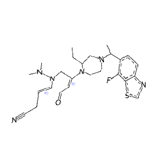 CCC1CN(C(C)c2ccc3ncsc3c2F)CCN1/C(=C/C=O)CN(/C=C/CC#N)N(C)C